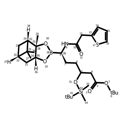 CC(C)(C)OC(=O)CC(CC[C@H](NC(=O)Cc1cccs1)B1O[C@@H]2C[C@@H]3C[C@@H](C3(C)C)[C@]2(C)O1)O[Si](C)(C)C(C)(C)C